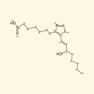 CCCCCC(O)C=Cc1scnc1CCCCCCC(=O)O